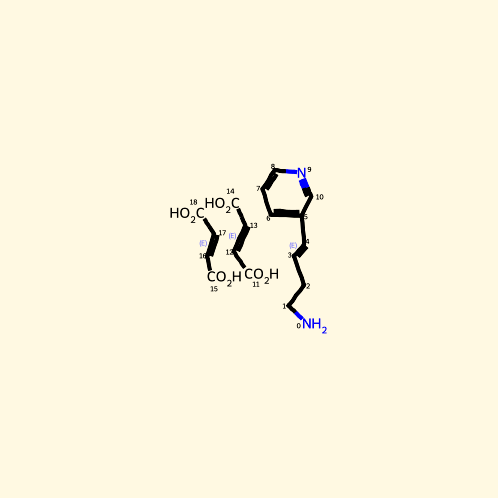 NCC/C=C/c1cccnc1.O=C(O)/C=C/C(=O)O.O=C(O)/C=C/C(=O)O